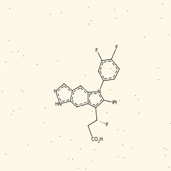 CC(C)c1c([C@H](F)CC(=O)O)c2cc3[nH]ncc3cc2n1-c1ccc(F)c(F)c1